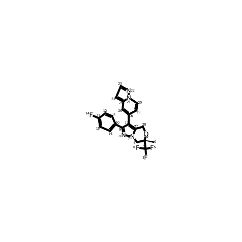 C[C@@]1(C(F)(F)F)Cn2nc(-c3ccc(F)cc3)c(-c3ccn4nccc4c3)c2CO1